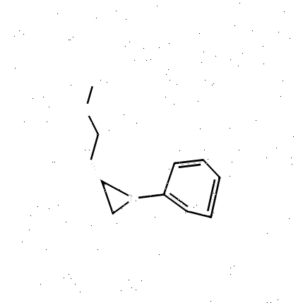 CSCC[C@H]1CN1c1ccccc1